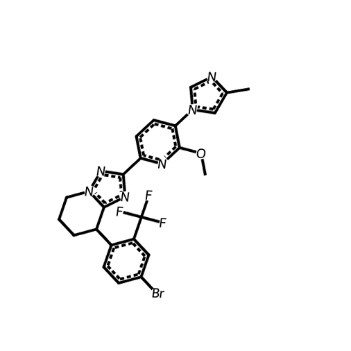 COc1nc(-c2nc3n(n2)CCCC3c2ccc(Br)cc2C(F)(F)F)ccc1-n1cnc(C)c1